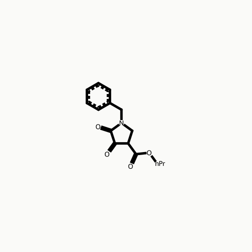 CCCOC(=O)C1CN(Cc2ccccc2)C(=O)C1=O